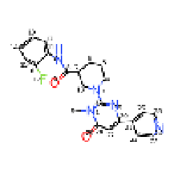 Cn1c(N2CCCC(C(=O)Nc3ccccc3F)C2)nc(-c2ccncc2)cc1=O